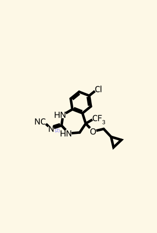 N#C/N=C1/NCC(OCC2CC2)(C(F)(F)F)c2cc(Cl)ccc2N1